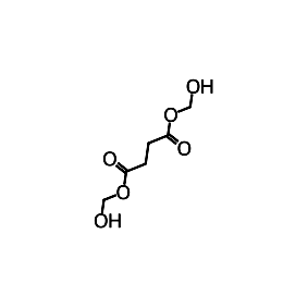 O=C(CCC(=O)OCO)OCO